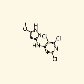 COc1cc(Nc2nc(Cl)nc(Cl)c2Cl)n[nH]1